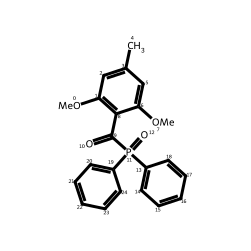 COc1cc(C)cc(OC)c1C(=O)P(=O)(c1ccccc1)c1ccccc1